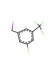 Fc1cc(CI)cc(C(F)(F)F)c1